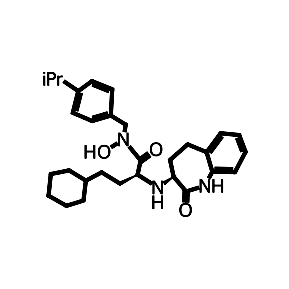 CC(C)c1ccc(CN(O)C(=O)[C@H](CCC2CCCCC2)N[C@H]2CCc3ccccc3NC2=O)cc1